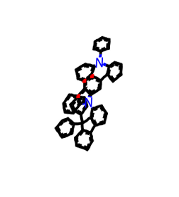 c1ccc(N(c2ccccc2)c2ccccc2-c2ccc3c4ccccc4n(-c4cccc5c4C(c4ccccc4)(c4ccccc4)c4ccccc4-5)c3c2)cc1